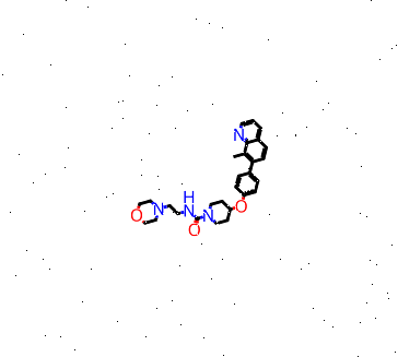 Cc1c(-c2ccc(OC3CCN(C(=O)NCCN4CCOCC4)CC3)cc2)ccc2cccnc12